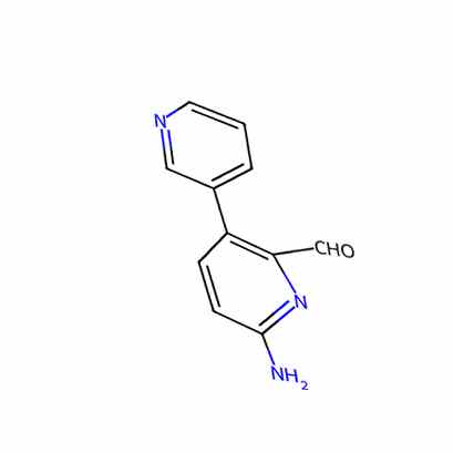 Nc1ccc(-c2cccnc2)c(C=O)n1